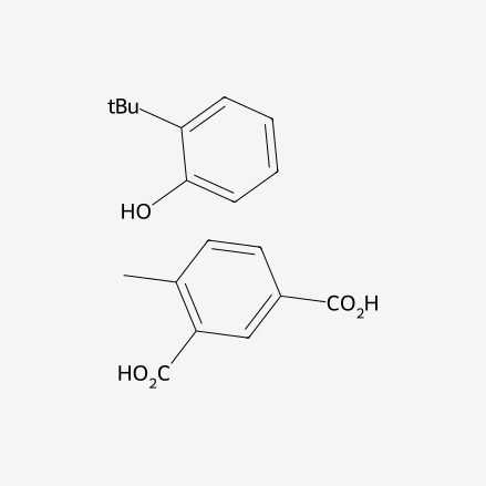 CC(C)(C)c1ccccc1O.Cc1ccc(C(=O)O)cc1C(=O)O